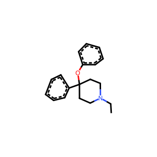 CCN1CCC(Oc2ccccc2)(c2ccccc2)CC1